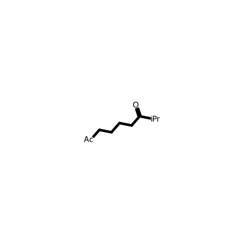 CC(=O)CCCCC(=O)C(C)C